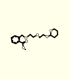 COC(=O)c1ccccc1COCCOCCOC1CCCCO1